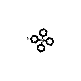 [Na+].c1cc[c]([Al-]([c]2ccccc2)([c]2ccccc2)[c]2ccccc2)cc1